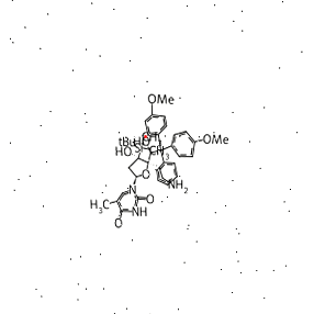 COc1ccc(C(c2ccccc2)(c2ccc(OC)cc2)C(O)[C@@]2(CCN)O[C@@H](n3cc(C)c(=O)[nH]c3=O)C[C@@]2(O)[Si](C)(C)C(C)(C)C)cc1